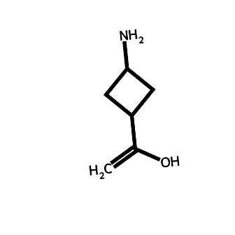 C=C(O)C1CC(N)C1